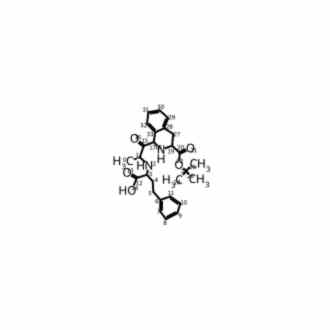 C[C@H](NC(CCc1ccccc1)C(=O)O)C(=O)C1NC(C(=O)OC(C)(C)C)Cc2ccccc21